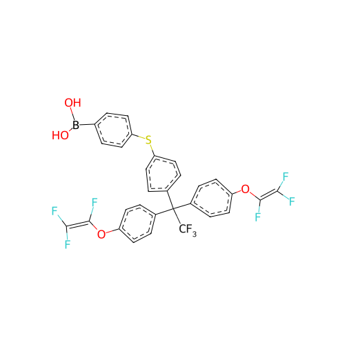 OB(O)c1ccc(Sc2ccc(C(c3ccc(OC(F)=C(F)F)cc3)(c3ccc(OC(F)=C(F)F)cc3)C(F)(F)F)cc2)cc1